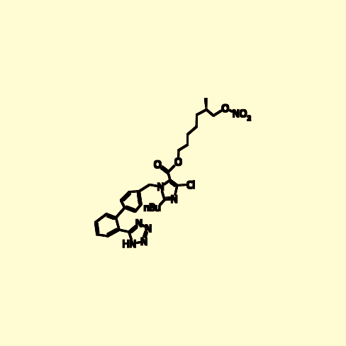 CCCCc1nc(Cl)c(C(=O)OCCCCC[C@@H](C)CO[N+](=O)[O-])n1Cc1ccc(-c2ccccc2-c2nnn[nH]2)cc1